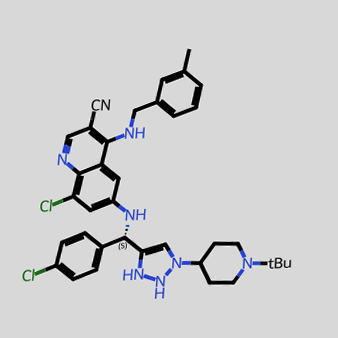 Cc1cccc(CNc2c(C#N)cnc3c(Cl)cc(N[C@H](C4=CN(C5CCN(C(C)(C)C)CC5)NN4)c4ccc(Cl)cc4)cc23)c1